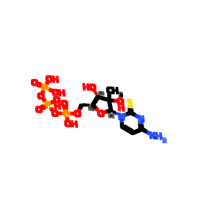 CC1(O)[C@@H](O)[C@@H](COP(=O)(O)OP(=O)(O)OP(=O)(O)O)O[C@H]1n1ccc(N)nc1=S